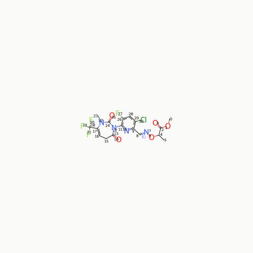 COC(=O)C(C)O/N=C/c1nc(N2C(=O)CC=C(C(F)(F)F)N(C)C2=O)c(F)cc1Cl